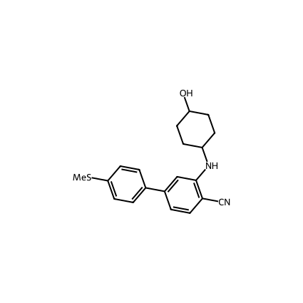 CSc1ccc(-c2ccc(C#N)c(NC3CCC(O)CC3)c2)cc1